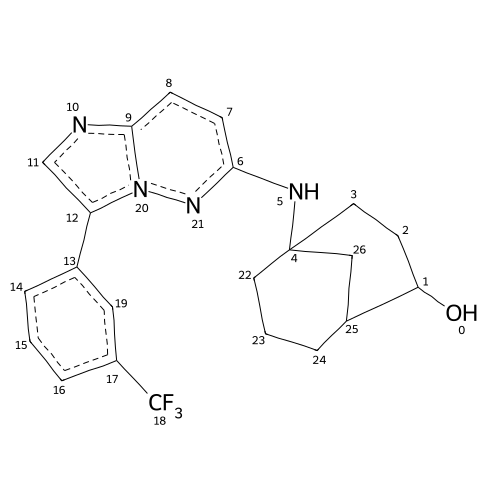 OC1CCC2(Nc3ccc4ncc(-c5cccc(C(F)(F)F)c5)n4n3)CCCC1C2